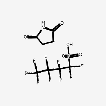 O=C1CCC(=O)N1.O=S(=O)(O)C(F)(F)C(F)(F)C(F)(F)C(F)(F)F